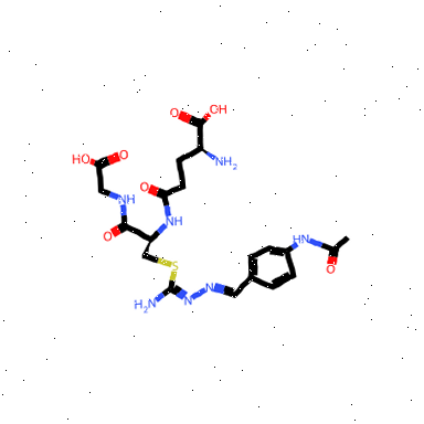 CC(=O)Nc1ccc(/C=N/N=C(/N)SC[C@H](NC(=O)CC[C@H](N)C(=O)O)C(=O)NCC(=O)O)cc1